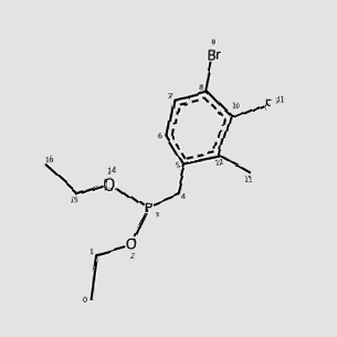 CCOP(Cc1ccc(Br)c(F)c1C)OCC